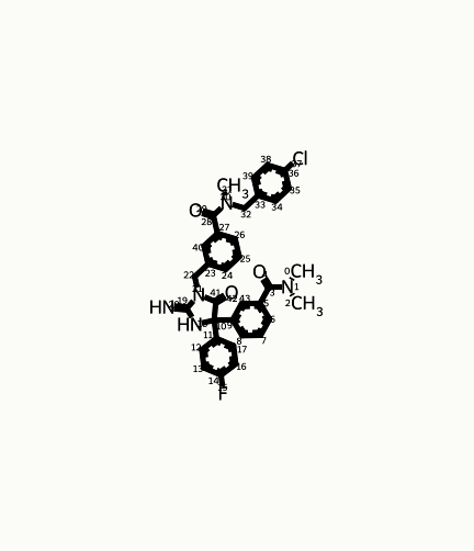 CN(C)C(=O)c1cccc(C2(c3ccc(F)cc3)NC(=N)N(Cc3cccc(C(=O)N(C)Cc4ccc(Cl)cc4)c3)C2=O)c1